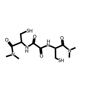 CN(C)C(=O)C(CS)NC(=O)C(=O)NC(CS)C(=O)N(C)C